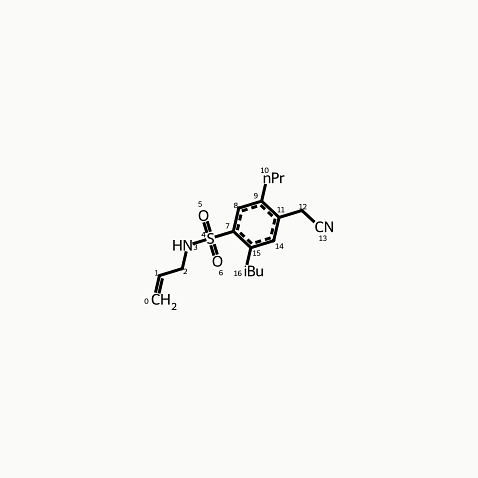 C=CCNS(=O)(=O)c1cc(CCC)c(CC#N)cc1C(C)CC